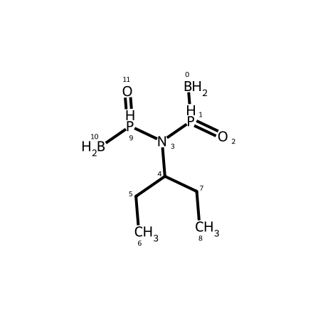 B[PH](=O)N(C(CC)CC)[PH](B)=O